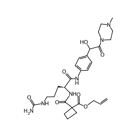 C=CCOC(=O)C1(C(=O)N[C@@H](CCCNC(N)=O)C(=O)Nc2ccc(C(O)C(=O)N3CCN(C)CC3)cc2)CCC1